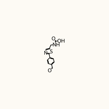 O=Cc1ccc(-c2ncc(CNC(=O)O)s2)cc1